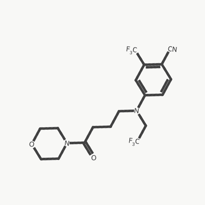 N#Cc1ccc(N(CCCC(=O)N2CCOCC2)CC(F)(F)F)cc1C(F)(F)F